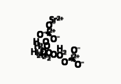 O.O.O.O.O.O.[O-][I+2]([O-])[O-].[O-][I+2]([O-])[O-].[Sr+2]